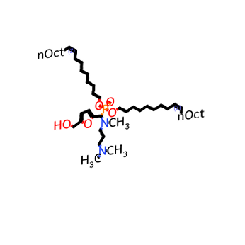 CCCCCCCC/C=C\CCCCCCCCOP(=O)(OCCCCCCCC/C=C\CCCCCCCC)C(c1ccc(CO)o1)N(C)CCCN(C)C